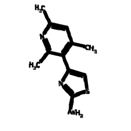 Cc1cc(C)c(-c2csc([AsH2])n2)c(C)n1